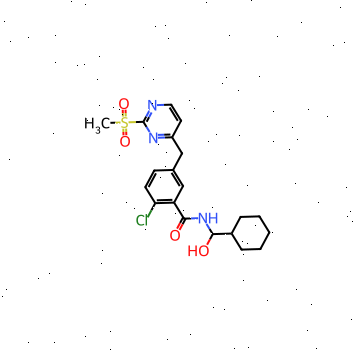 CS(=O)(=O)c1nccc(Cc2ccc(Cl)c(C(=O)NC(O)C3CCCCC3)c2)n1